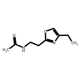 CCc1coc(CCNC(C)=O)n1